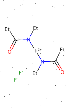 CCC(=O)[N](CC)[Ti+2][N](CC)C(=O)CC.[F-].[F-]